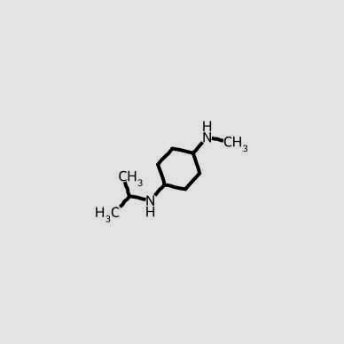 CNC1CCC(NC(C)C)CC1